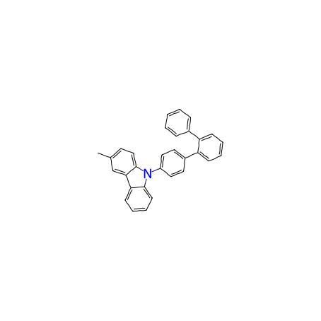 Cc1ccc2c(c1)c1ccccc1n2-c1ccc(-c2ccccc2-c2ccccc2)cc1